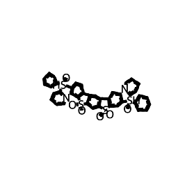 O=S1(=O)c2cc([SH](=O)(c3ccccc3)c3ccccn3)ccc2-c2cc3c(cc21)S(=O)(=O)c1cc([SH](=O)(c2ccccc2)c2ccccn2)ccc1-3